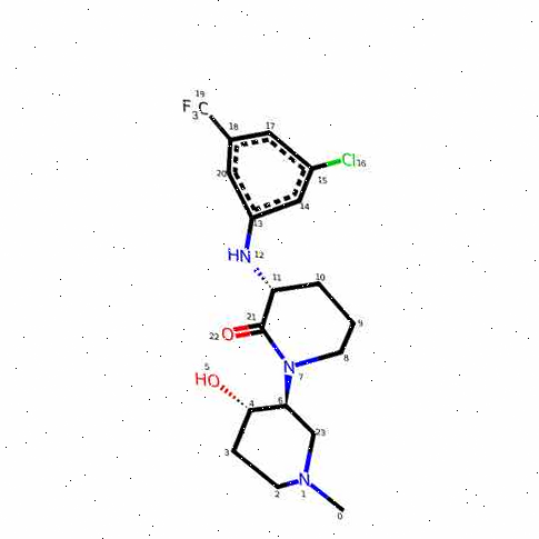 CN1CC[C@H](O)[C@@H](N2CCC[C@@H](Nc3cc(Cl)cc(C(F)(F)F)c3)C2=O)C1